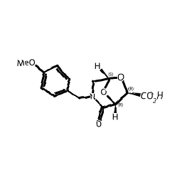 COc1ccc(CN2C[C@@H]3O[C@@H](C(=O)O)[C@@H](O3)C2=O)cc1